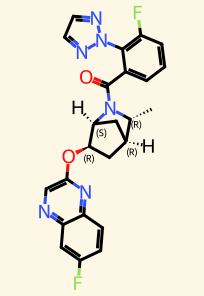 C[C@@H]1[C@H]2C[C@@H](Oc3cnc4cc(F)ccc4n3)[C@H](C2)N1C(=O)c1cccc(F)c1-n1nccn1